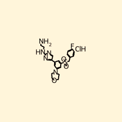 Cl.NCCNc1ncc(-c2cc(N3CCOCC3)cc(S(=O)(=O)Cc3ccc(F)cc3)c2)cn1